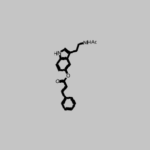 CC(=O)NCCc1c[nH]c2ccc(OC(=O)C=Cc3ccccc3)cc12